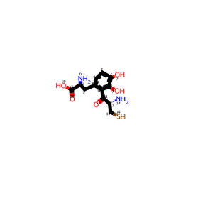 NC(Cc1ccc(O)c(O)c1C(=O)[C@H](N)CS)C(=O)O